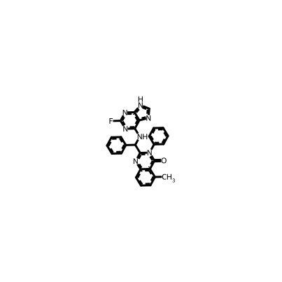 Cc1cccc2nc(C(Nc3nc(F)nc4[nH]cnc34)c3ccccc3)n(-c3ccccc3)c(=O)c12